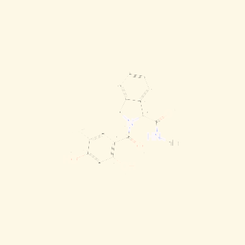 CC(C)NC(=O)C1c2ccccc2CN1C(=O)c1cc(Cl)c(O)cc1O